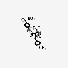 COC(=O)c1ccc([C@H](C)NC(=O)c2c(C(F)F)nn(C)c2Cc2ccc(C(F)(F)F)cc2)cc1